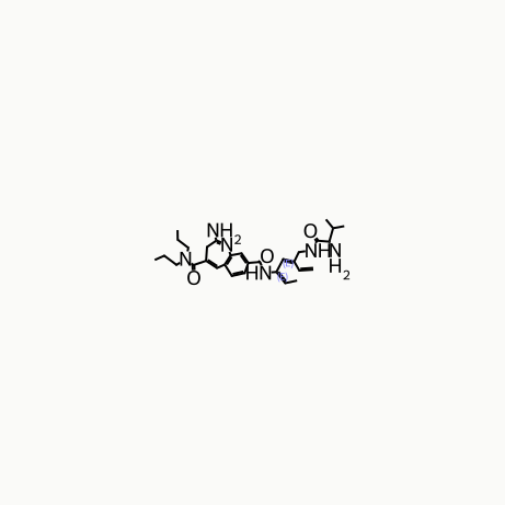 C=C/C(=C\C(=C/C)NC(=O)c1ccc2c(c1)N=C(N)CC(C(=O)N(CCC)CCC)=C2)CNC(=O)C(N)C(C)C